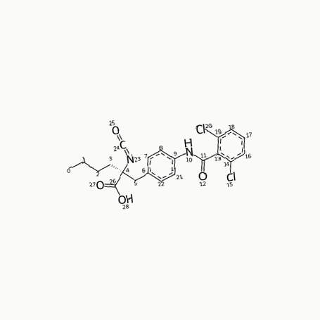 CCCC[C@@](Cc1ccc(NC(=O)c2c(Cl)cccc2Cl)cc1)(N=C=O)C(=O)O